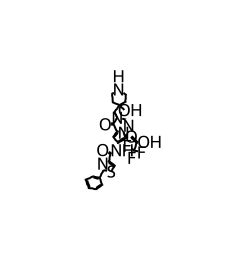 O=C(Nc1cc2c(=O)n(CC3(O)CCNCC3)cnn2c1)c1csc(-c2ccccc2)n1.O=C(O)C(F)(F)F